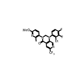 CCc1c(N2CN(c3ccc(OC)nc3C)C(=O)c3cc(C(F)(F)F)ncc32)ccc(F)c1F